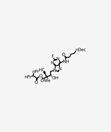 C#C[C@](COC(=O)C(CCC)CCC)(OC)[C@@H](O)Cn1cnc2c(NC(=O)CCCCCCCCCCCCC)nc(F)nc21